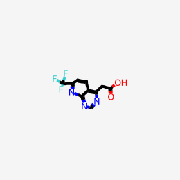 O=C(O)Cc1ncnc2nc(C(F)(F)F)ccc12